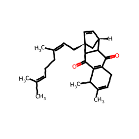 CC(C)=CCCC(C)=CC[C@@]12C=C[C@@H](C1)C1C(=O)C3=C(C(=O)C12)C(C)C(C)=CC3